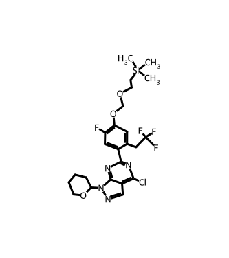 C[Si](C)(C)CCOCOc1cc(CC(F)(F)F)c(-c2nc(Cl)c3cnn(C4CCCCO4)c3n2)cc1F